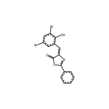 O=C1OC(c2ccccc2)=N/C1=C/c1cc(Br)cc(Br)c1O